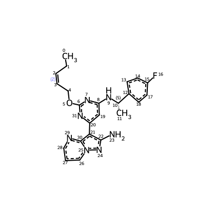 CC/C=C\COc1nc(N[C@@H](C)c2ccc(F)cc2)cc(-c2c(N)nn3cccnc23)n1